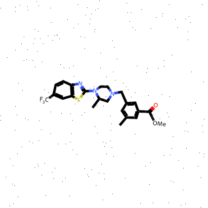 COC(=O)c1cc(C)cc(CN2CCN(c3nc4ccc(C(F)(F)F)cc4s3)C(C)C2)c1